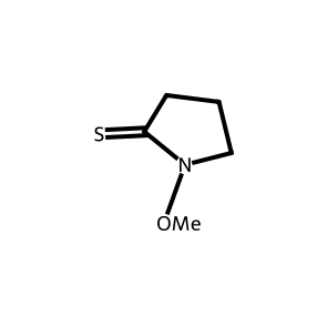 CON1CCCC1=S